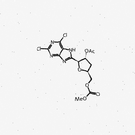 COC(=O)OC[C@@H]1C[C@@H](OC(C)=O)[C@H](c2nc3nc(Cl)nc(Cl)c3[nH]2)O1